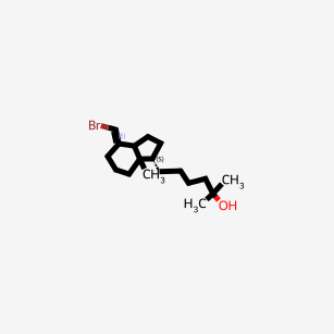 CC(C)(O)CCCC[C@H]1CCC2/C(=C/Br)CCCC21C